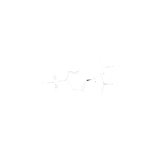 NS(=O)(=O)c1ccc([C@H]2[C@H](C(=O)O)C2(Cl)Cl)cc1